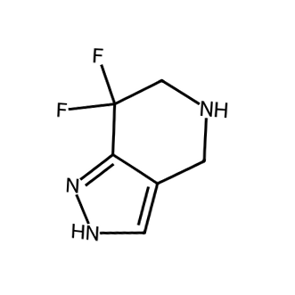 FC1(F)CNCc2c[nH]nc21